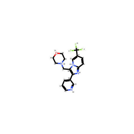 FC(F)(F)c1ccc2nc(-c3cccnc3)c(CN3CCOCC3)n2c1